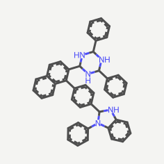 c1ccc(C2NC(c3ccccc3)NC(c3ccc4ccccc4c3-c3ccc(C4Nc5ccccc5N4c4ccccc4)cc3)N2)cc1